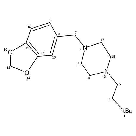 CC(C)(C)CCN1CCN(Cc2ccc3c(c2)OCO3)CC1